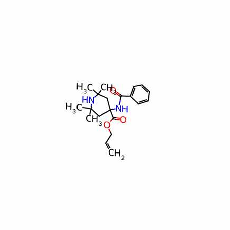 C=CCOC(=O)C1(NC(=O)c2ccccc2)CC(C)(C)NC(C)(C)C1